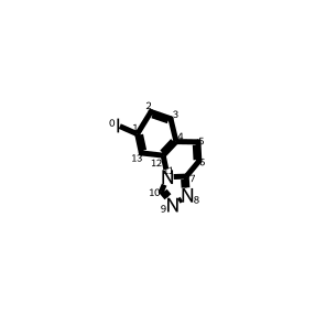 Ic1ccc2ccc3nncn3c2c1